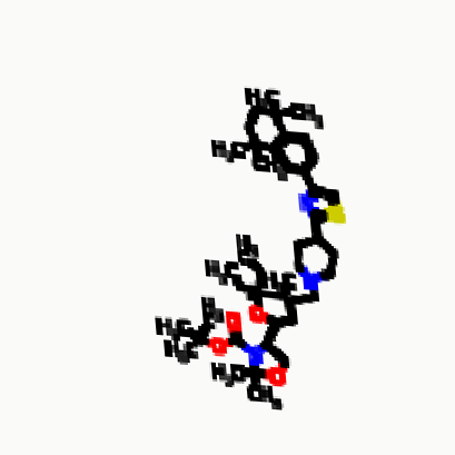 CC[Si](CC)(CC)OC(CCCN1CCC(c2nc(-c3ccc4c(c3)C(C)(C)CCC4(C)C)cs2)CC1)C1COC(C)(C)N1C(=O)OC(C)(C)C